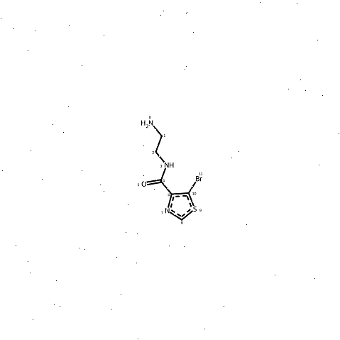 NCCNC(=O)c1ncsc1Br